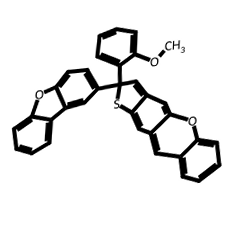 COc1ccccc1C1(c2ccc3oc4ccccc4c3c2)C=c2cc3c(cc2S1)=Cc1ccccc1O3